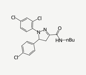 CCCCNC(=O)C1=NN(c2ccc(Cl)cc2Cl)C(c2ccc(Cl)cc2)C1